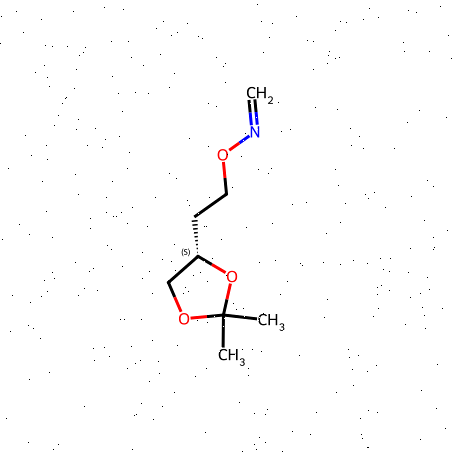 C=NOCC[C@H]1COC(C)(C)O1